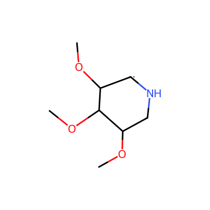 COC1[CH]NCC(OC)C1OC